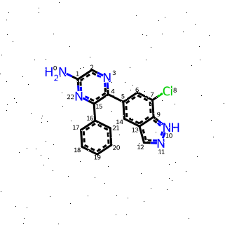 Nc1cnc(-c2cc(Cl)c3[nH]ncc3c2)c(-c2ccccc2)n1